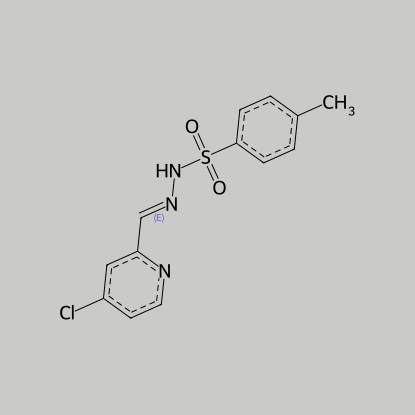 Cc1ccc(S(=O)(=O)N/N=C/c2cc(Cl)ccn2)cc1